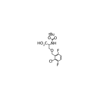 CC(C)(C)OC(=O)NC(COCc1c(F)ccc(F)c1Cl)C(=O)O